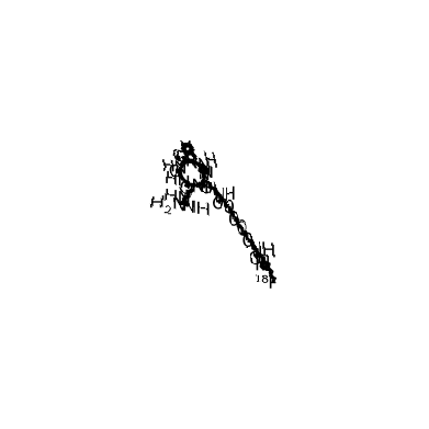 N=C(N)NCCC[C@@H]1NC(=O)[C@H](CCCCNC(=O)CCOCCOCCOCCOCCNC(=O)Cn2cc(CCC[18F])cn2)n2cc(nn2)[C@H](Cc2ccccc2)NC(=O)[C@H](CC(=O)O)NC(=O)CNC1=O